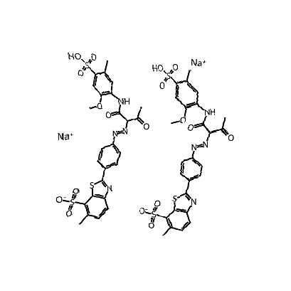 COc1cc(S(=O)(=O)O)c(C)cc1NC(=O)C(N=Nc1ccc(-c2nc3ccc(C)c(S(=O)(=O)[O-])c3s2)cc1)C(C)=O.COc1cc(S(=O)(=O)O)c(C)cc1NC(=O)C(N=Nc1ccc(-c2nc3ccc(C)c(S(=O)(=O)[O-])c3s2)cc1)C(C)=O.[Na+].[Na+]